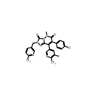 Cn1c(=O)c(-c2ccc(Cl)cc2)c(-c2cnc(C(F)(F)F)c(F)c2)c2nn(Cc3ccc(C(F)(F)F)nc3)c(=O)n21